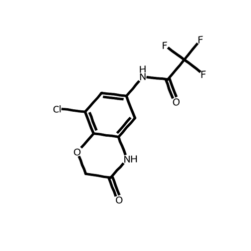 O=C1COc2c(Cl)cc(NC(=O)C(F)(F)F)cc2N1